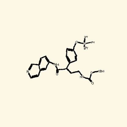 CC(C)[Si](Oc1ccc(C(CCNC(=O)OC(C)(C)C)C(=O)Nc2ccc3cnccc3c2)cc1)(C(C)C)C(C)C